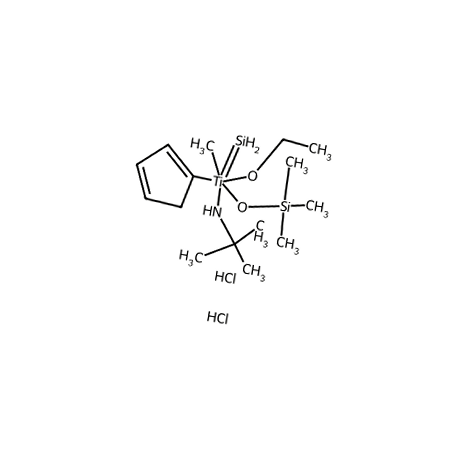 CC[O][Ti]([CH3])(=[SiH2])([NH]C(C)(C)C)([O][Si](C)(C)C)[C]1=CC=CC1.Cl.Cl